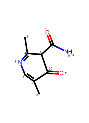 CC1=CN=C(C)C(C(N)=O)C1=O